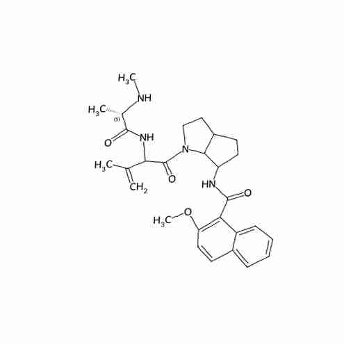 C=C(C)C(NC(=O)[C@H](C)NC)C(=O)N1CCC2CCC(NC(=O)c3c(OC)ccc4ccccc34)C21